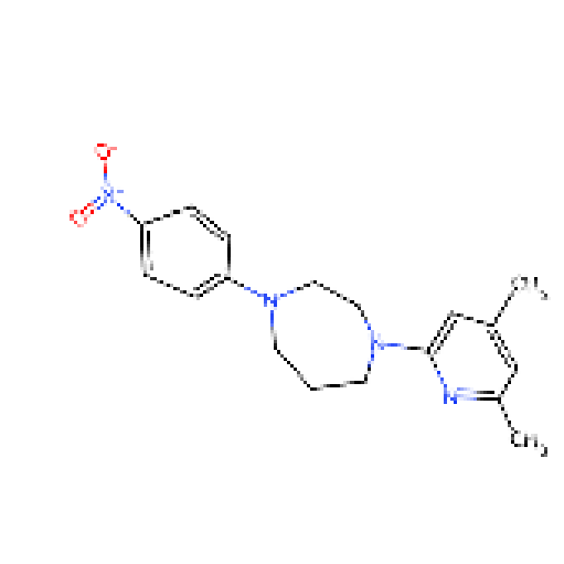 Cc1cc(C)nc(N2CCCN(c3ccc([N+](=O)[O-])cc3)CC2)c1